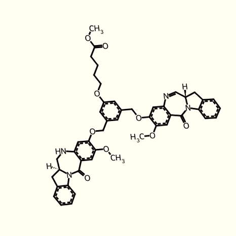 COC(=O)CCCCOc1cc(COc2cc3c(cc2OC)C(=O)N2c4ccccc4C[C@H]2C=N3)cc(COc2cc3c(cc2OC)C(=O)N2c4ccccc4C[C@H]2CN3)c1